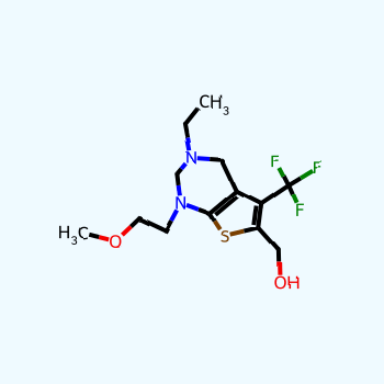 CCN1Cc2c(sc(CO)c2C(F)(F)F)N(CCOC)C1